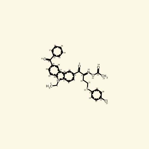 CCn1c2ccc(C(=O)/C(CCSc3ccc(Cl)cc3)=N/OC(C)=O)cc2c2cc(C(=O)c3ccccc3)ccc21